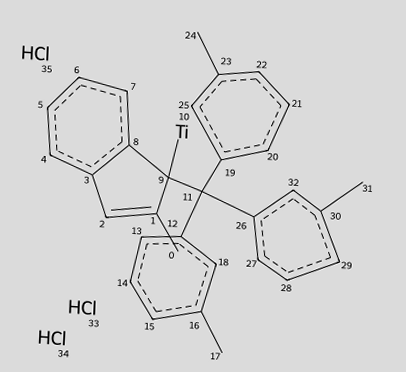 CC1=Cc2ccccc2[C]1([Ti])C(c1cccc(C)c1)(c1cccc(C)c1)c1cccc(C)c1.Cl.Cl.Cl